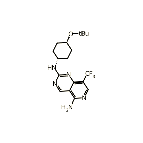 CC(C)(C)O[C@H]1CC[C@H](Nc2ncc3c(N)ncc(C(F)(F)F)c3n2)CC1